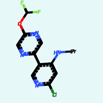 CC(C)Nc1cc(Cl)ncc1-c1cnc(OC(F)F)cn1